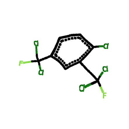 FC(Cl)(Cl)c1ccc(Cl)c(C(F)(Cl)Cl)c1